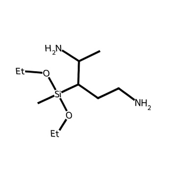 CCO[Si](C)(OCC)C(CCN)C(C)N